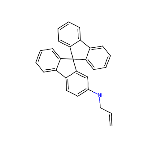 C=CCNc1ccc2c(c1)C1(c3ccccc3-c3ccccc31)c1ccccc1-2